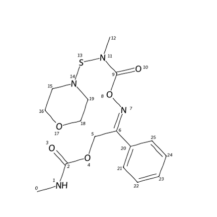 CNC(=O)OCC(=NOC(=O)N(C)SN1CCOCC1)c1ccccc1